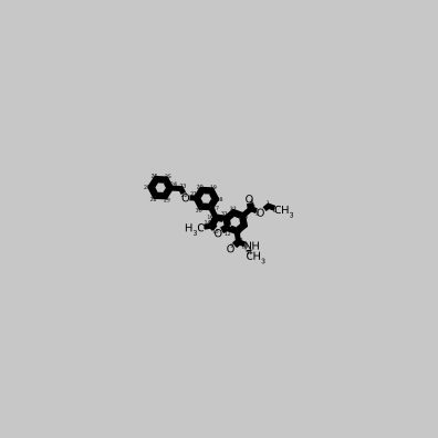 CCOC(=O)c1cc(C(=O)NC)c2oc(C)c(-c3cccc(OCc4ccccc4)c3)c2c1